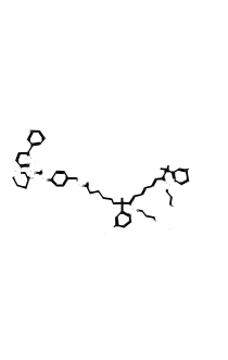 CC1(C)C(/C=C/C=C/C=C2\N(CCCS(=O)(=O)O)c3ccc(S(=O)(=O)O)cc3C2(C)CCCCCC(=O)NCc2ccc(NC(=O)N3c4nc(-c5cccc(C(F)(F)F)c5)ccc4N4CCC[C@H]3C4)cc2)=[N+](CCCS(=O)(=O)O)c2ccc(S(=O)(=O)O)cc21